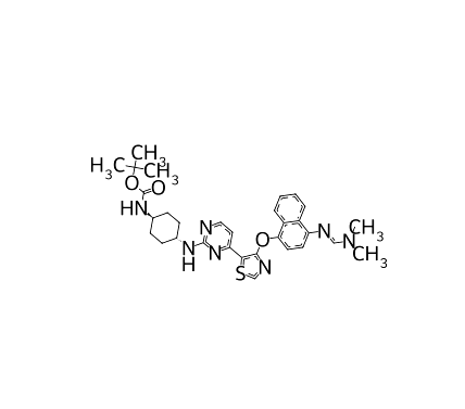 CN(C)C=Nc1ccc(Oc2ncsc2-c2ccnc(N[C@H]3CC[C@H](NC(=O)OC(C)(C)C)CC3)n2)c2ccccc12